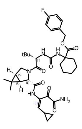 CC(C)(C)[C@H](NC(=O)NC1(C(=O)OCc2ccc(F)cc2)CCCCC1)C(=O)N1C[C@H]2[C@@H]([C@H]1C(=O)N/C(=C/C1CC1)C(=O)C(N)=O)C2(C)C